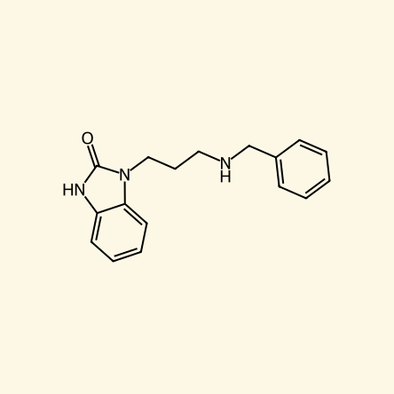 O=c1[nH]c2ccccc2n1CCCNCc1ccccc1